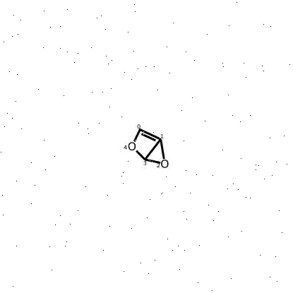 C1=C2OC2O1